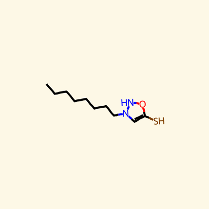 CCCCCCCCN1C=C(S)ON1